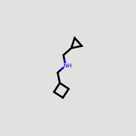 C1CC(CNCC2CC2)C1